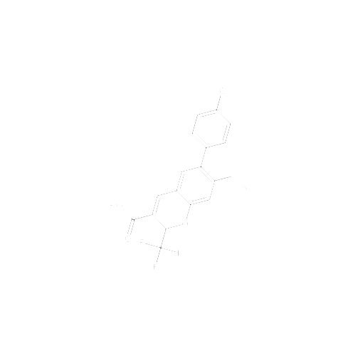 COc1cc2c(cc1-c1ccc(Cl)cc1)C=C(C(=O)O)C(C(F)(F)F)O2